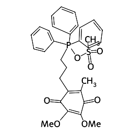 COC1=C(OC)C(=O)C(CCCP(OS(C)(=O)=O)(c2ccccc2)(c2ccccc2)c2ccccc2)=C(C)C1=O